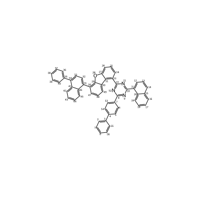 c1ccc(-c2ccc(-c3nc(-c4cccc5ccccc45)nc(-c4cccc5oc6c(-c7ccc(-c8ccccc8)c8ccccc78)cccc6c45)n3)cc2)cc1